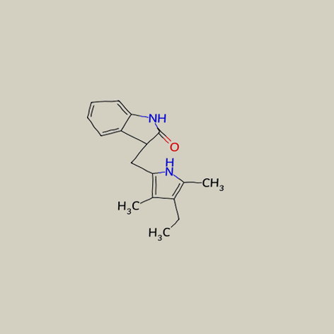 CCc1c(C)[nH]c(CC2C(=O)Nc3ccccc32)c1C